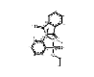 CCOP(=O)(OCC)c1cccnc1N1C(=O)c2ccccc2C1=O